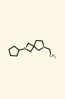 CCN1CCC2(C1)CN(C1CCCC1)C2